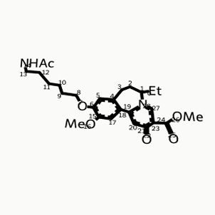 CCC1CCc2cc(OCCCCCCNC(C)=O)c(OC)cc2-c2cc(=O)c(C(=O)OC)cn21